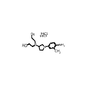 Cc1cc(N2CCC(N(CCO)CCO)C2)ccc1N.Cl.Cl